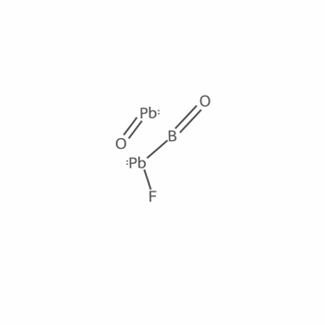 O=[B][Pb][F].[O]=[Pb]